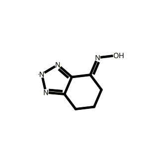 ON=C1CCCC2=N[N]N=C12